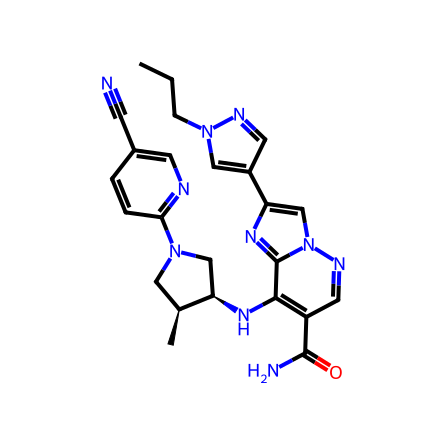 CCCn1cc(-c2cn3ncc(C(N)=O)c(N[C@@H]4CN(c5ccc(C#N)cn5)C[C@@H]4C)c3n2)cn1